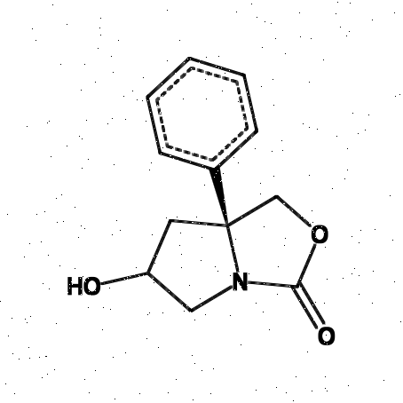 O=C1OC[C@@]2(c3ccccc3)CC(O)CN12